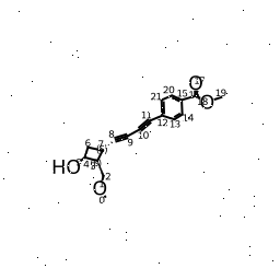 COC[C@H]1C(O)C[C@@H]1C#CC#Cc1ccc(C(=O)OC)cc1